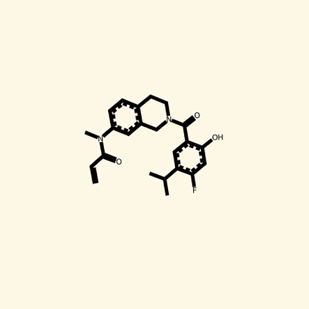 C=CC(=O)N(C)c1ccc2c(c1)CN(C(=O)c1cc(C(C)C)c(F)cc1O)CC2